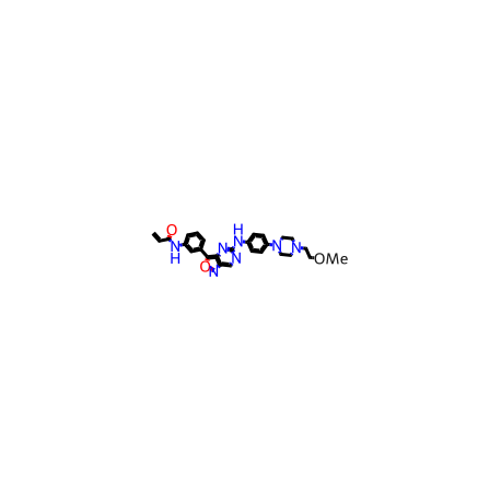 C=CC(=O)Nc1cccc(-c2onc3cnc(Nc4ccc(N5CCN(CCOC)CC5)cc4)nc23)c1